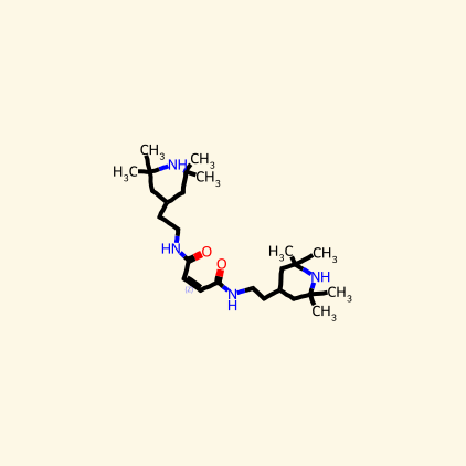 CC1(C)CC(CCNC(=O)/C=C\C(=O)NCCC2CC(C)(C)NC(C)(C)C2)CC(C)(C)N1